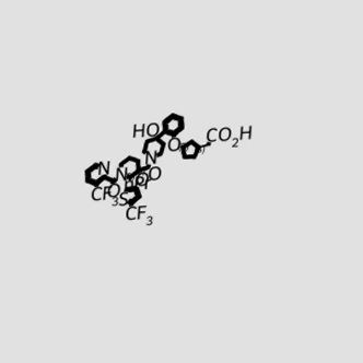 CCC[C@H]1N(C(=O)c2ncccc2C(F)(F)F)CCC[C@@]1(Oc1csc(C(F)(F)F)c1)C(=O)N1CCC(O)(c2ccccc2O[C@@H]2CC[C@H](CC(=O)O)C2)CC1